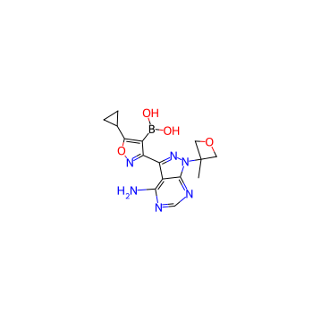 CC1(n2nc(-c3noc(C4CC4)c3B(O)O)c3c(N)ncnc32)COC1